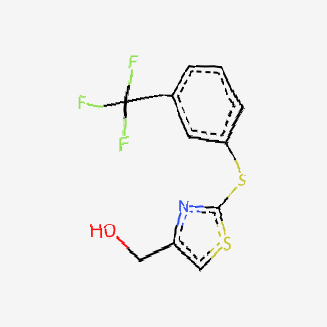 OCc1csc(Sc2cccc(C(F)(F)F)c2)n1